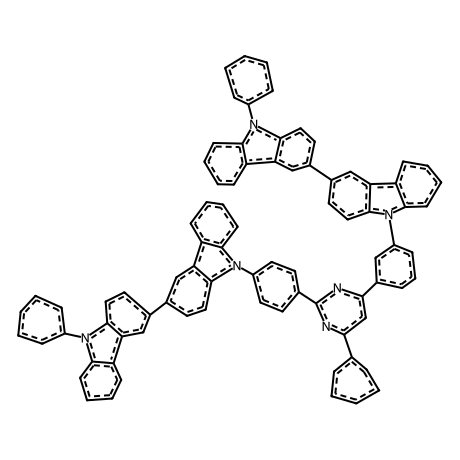 c1ccc(-c2cc(-c3cccc(-n4c5ccccc5c5cc(-c6ccc7c(c6)c6ccccc6n7-c6ccccc6)ccc54)c3)nc(-c3ccc(-n4c5ccccc5c5cc(-c6ccc7c(c6)c6ccccc6n7-c6ccccc6)ccc54)cc3)n2)cc1